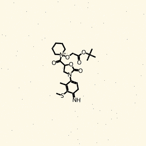 CSC1=C(C)C(N2CC(C(=O)[N+]3(OCC(=O)OC(C)(C)C)CCCCC3)OC2=O)=CCC1=N